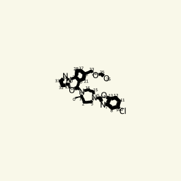 C[C@@H]1CCN(c2nc3cc(Cl)ccc3o2)CCN1C(=O)c1cc(COC=O)ccc1-n1nccn1